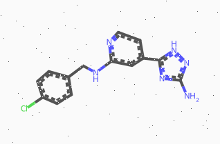 Nc1n[nH]c(-c2ccnc(NCc3ccc(Cl)cc3)c2)n1